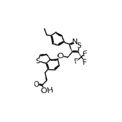 CCc1ccc(-c2nsc(C(F)(F)F)c2COc2ccc(CCC(=O)O)c3sccc23)cc1